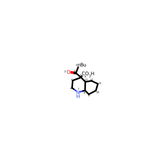 CCCCC(=O)C1(C(=O)O)CCNC2CCCCC21